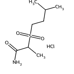 CC(C)CCS(=O)(=O)C(C)C(N)=O.Cl